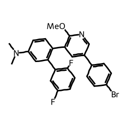 COc1ncc(-c2ccc(Br)cc2)cc1-c1ccc(N(C)C)cc1-c1cc(F)ccc1F